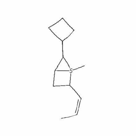 C/C=C\C1CC2C(C3CCC3)S12C